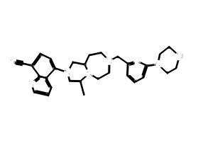 CC1CN(c2ccc(C#N)c3ncccc23)CC2CCN(Cc3cccc(N4CCNCC4)n3)CCN12